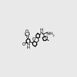 Cc1cccc(C(CN)Nc2ccc3c(c2)Cc2cccc(-c4cc(N5CCOCC5)cc(=O)[nH]4)c2O3)n1